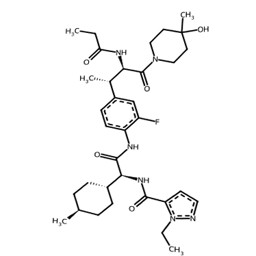 CCC(=O)N[C@@H](C(=O)N1CCC(C)(O)CC1)[C@@H](C)c1ccc(NC(=O)[C@@H](NC(=O)c2ccnn2CC)[C@H]2CC[C@H](C)CC2)c(F)c1